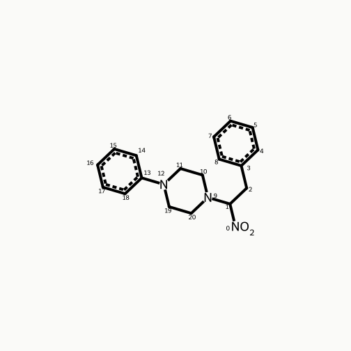 O=[N+]([O-])C(Cc1ccccc1)N1CCN(c2ccccc2)CC1